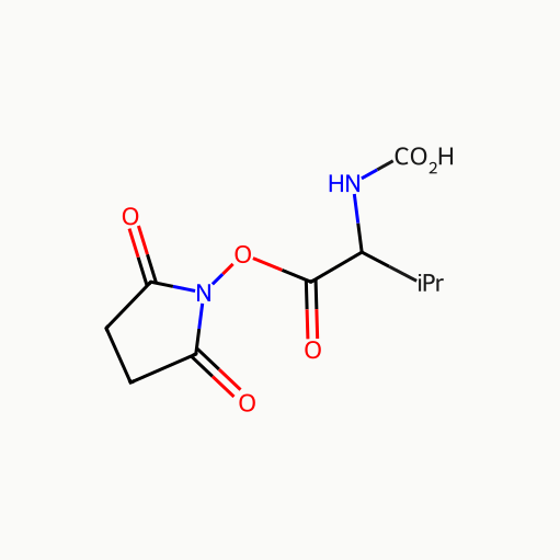 CC(C)C(NC(=O)O)C(=O)ON1C(=O)CCC1=O